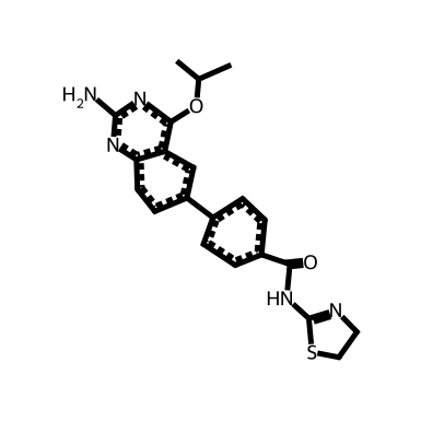 CC(C)Oc1nc(N)nc2ccc(-c3ccc(C(=O)NC4=NCCS4)cc3)cc12